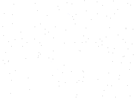 COCCOCC(=O)N(CC1CC1)c1cnc(Oc2cc(O[C@@H](C)CO)cc(C(=O)Nc3ccn(C)n3)c2)cn1